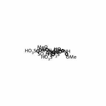 COc1ccc(Nc2ccc3c(O)c(N=Nc4c(OC)cc(N=Nc5cc(OC)c(N=Nc6ccc7cc(S(=O)(=O)O)cc(S(=O)(=O)O)c7c6)cc5OC)c5cc(S(=O)(=O)O)ccc45)c(S(=O)(=O)O)cc3c2)cc1